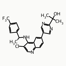 CC(Nc1c(Cl)cnc2ccc(-c3cnc(C(C)(C)O)nc3)cc12)c1ccc(C(F)(F)F)cc1